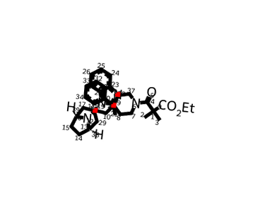 CCOC(=O)C(C)(C)C(=O)N1CCC(CCN2[C@@H]3CC[C@H]2C[C@@H](n2c(C)nc4ccccc42)C3)(c2ccccc2)CC1